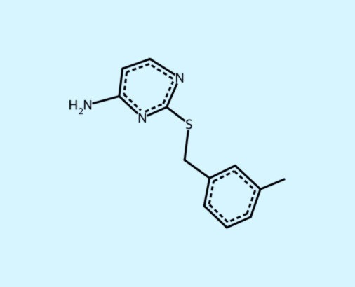 Cc1cccc(CSc2nccc(N)n2)c1